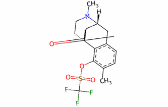 Cc1ccc2c(c1OS(=O)(=O)C(F)(F)F)[C@]13CCN(C)[C@H](C2)C1CCC(=O)C3